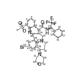 CS(=O)(=O)c1cccc2c(C(=O)N[C@H](c3ccccc3)C(F)(F)F)c(CN3CCC(N4CCOCC4)CC3)c(-c3cccc(Br)c3)nc12